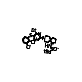 CCc1nc(N2CCC3(CCC[C@H]3N[S@+]([O-])C(C)(C)C)CC2)cnc1Sc1cccc(Cl)c1Cl